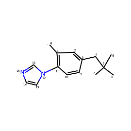 [CH2]c1cc(CC(C)(C)C)ccc1-n1ccnc1